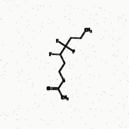 CCCC(F)(F)C(F)CCSC(C)=O